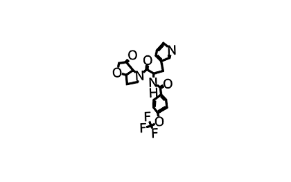 O=C(NC(Cc1cccnc1)C(=O)N1CCC2OCC(=O)C21)c1ccc(OC(F)(F)F)cc1